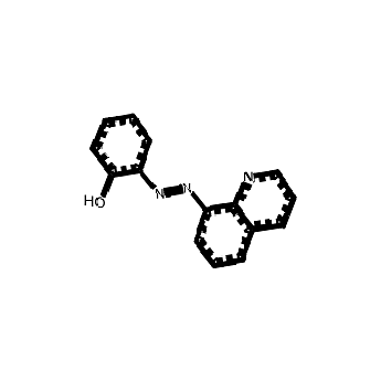 Oc1ccccc1N=Nc1cccc2cccnc12